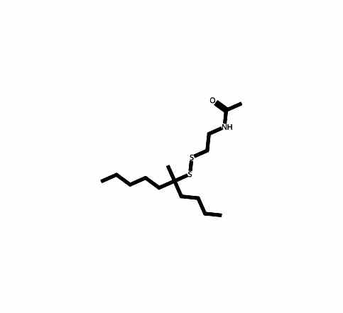 CCCCCC(C)(CCCC)SSCCNC(C)=O